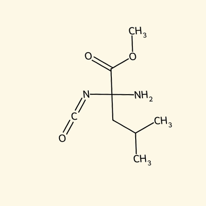 COC(=O)C(N)(CC(C)C)N=C=O